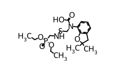 CCOP(=O)(CNSCN(C(=O)O)c1cccc2c1OC(C)(C)C2)OCC